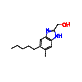 CCCCCc1cc2nc(CO)[nH]c2cc1C